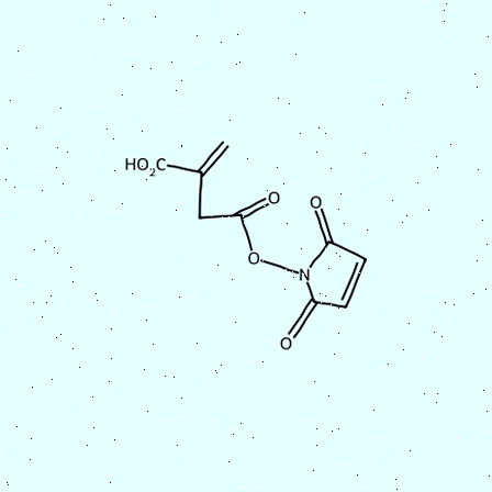 C=C(CC(=O)ON1C(=O)C=CC1=O)C(=O)O